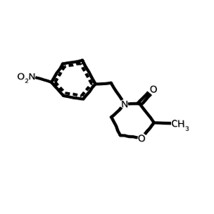 CC1OCCN(Cc2ccc([N+](=O)[O-])cc2)C1=O